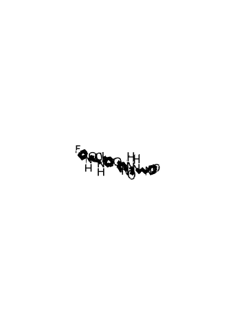 O=C(CC(=O)Nc1ccc(Oc2ccnc(NC(=O)NCCCN3CCOCC3)c2)cc1Cl)Nc1ccc(F)cc1